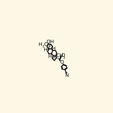 C[C@@]1(O)CC[C@@]2(F)[C@H](CC[C@H]3[C@@H]4CC[C@H](C(=C=O)COc5ccc(C#N)cc5)[C@@]4(C)CC[C@@H]32)C1